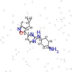 Cc1noc(-c2ccnc(NC3CCC(N)CC3)n2)c1CC1CC1